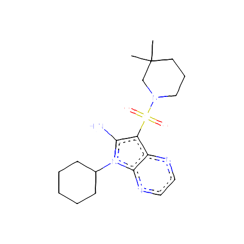 CC1(C)CCCN(S(=O)(=O)c2c(N)n(C3CCCCC3)c3nccnc23)C1